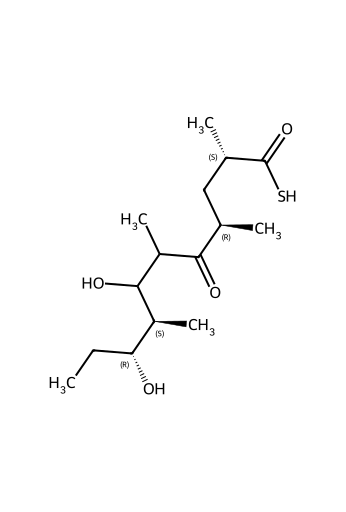 CC[C@@H](O)[C@H](C)C(O)C(C)C(=O)[C@H](C)C[C@H](C)C(=O)S